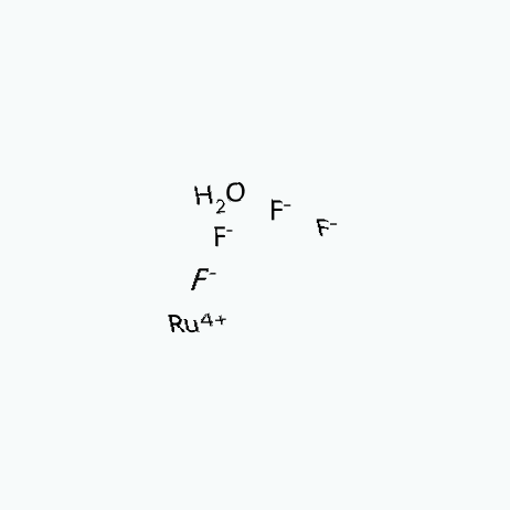 O.[F-].[F-].[F-].[F-].[Ru+4]